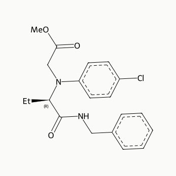 CC[C@H](C(=O)NCc1ccccc1)N(CC(=O)OC)c1ccc(Cl)cc1